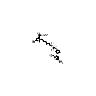 COC(=O)c1cc(Br)nn1CCCCCCNC(=O)O[C@@H]1CC[C@H](c2cc(N)nn2C(C)(C)C)C1